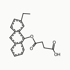 CCc1ccc2cc3ccccc3c(OC(=O)CCC(=O)O)c2c1